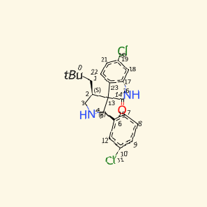 CC(C)(C)C[C@@H]1CN[C@H](c2cccc(Cl)c2)C12C(=O)Nc1cc(Cl)ccc12